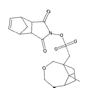 CC1(C)C2CCOCC1(CS(=O)(=O)ON1C(=O)C3C4C=CC(C4)C3C1=O)CC2